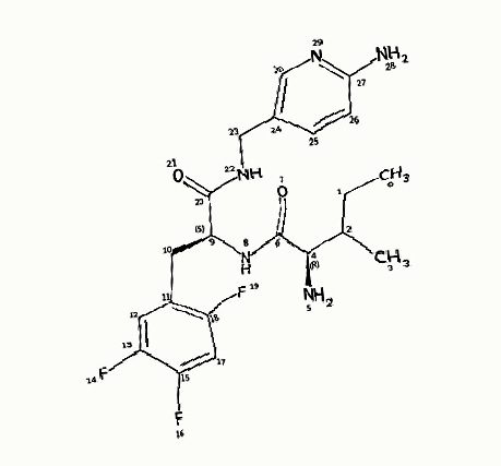 CCC(C)[C@@H](N)C(=O)N[C@@H](Cc1cc(F)c(F)cc1F)C(=O)NCc1ccc(N)nc1